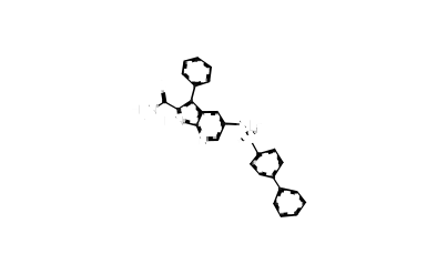 NC(=O)c1[nH]c2ncc(NS(=O)(=O)c3ccc(-c4ccccc4)cc3)cc2c1-c1ccccc1